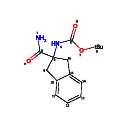 CC(C)(C)OC(=O)NC1(C(N)=O)Cc2ccccc2C1